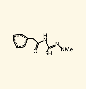 CN/N=C(\S)NC(=O)Cc1ccccc1